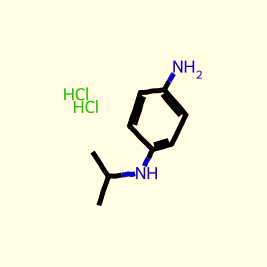 CC(C)Nc1ccc(N)cc1.Cl.Cl